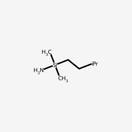 CC(C)CC[Si](C)(C)N